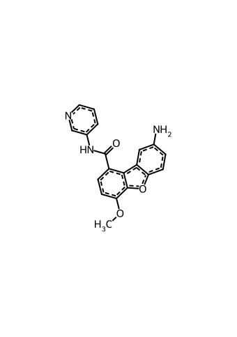 COc1ccc(C(=O)Nc2cccnc2)c2c1oc1ccc(N)cc12